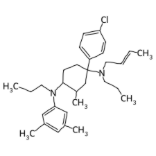 CC=CCN(CCC)C1(c2ccc(Cl)cc2)CCC(N(CCC)c2cc(C)cc(C)c2)C(C)C1